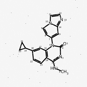 CNc1nc(=O)n(-c2ccn3ccnc3c2)c2cc(C3CC3)ccc12